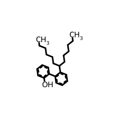 CCCCCCC(CCCCCC)c1ccccc1-c1ccccc1O